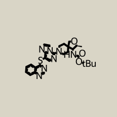 C[C@@H]1OCC2(CCN(c3ncc(Sc4ncnc5ccccc45)c4nccn34)CC2)[C@@H]1NC(=O)OC(C)(C)C